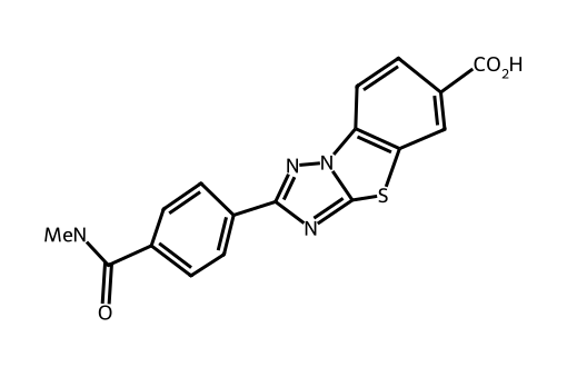 CNC(=O)c1ccc(-c2nc3sc4cc(C(=O)O)ccc4n3n2)cc1